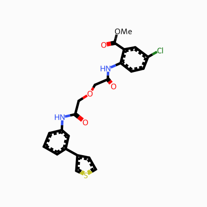 COC(=O)c1cc(Cl)ccc1NC(=O)COCC(=O)Nc1cccc(-c2ccsc2)c1